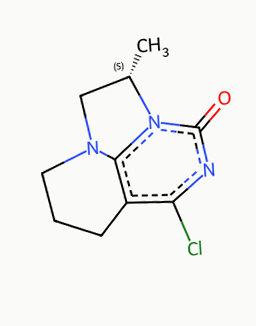 C[C@H]1CN2CCCc3c(Cl)nc(=O)n1c32